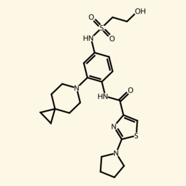 O=C(Nc1ccc(NS(=O)(=O)CCO)cc1N1CCC2(CC1)CC2)c1csc(N2CCCC2)n1